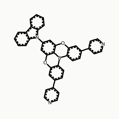 c1ccc2c(c1)c1ccccc1n2-c1cc2c3c(c1)Oc1cc(-c4ccncc4)ccc1B3c1ccc(-c3ccncc3)cc1O2